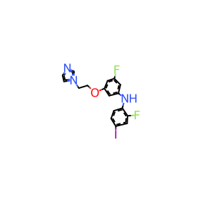 Fc1cc(Nc2ccc(I)cc2F)cc(OCCn2ccnc2)c1